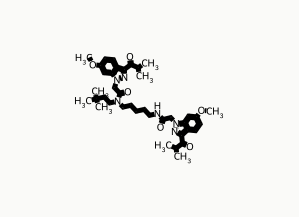 COc1ccc2c(C(=O)C(C)C)nn(CC(=O)NCCCCCN(CCC(C)(C)C)C(=O)Cn3nc(C(=O)C(C)C)c4ccc(OC)cc43)c2c1